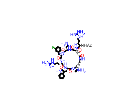 C=C(N)[C@@H]1CCCNC(=O)CC[C@H](NC(=O)[C@H](CCCNC(=N)N)NC(C)=O)C(=O)N[C@@H](CCN)C(=O)N[C@H](Cc2cccc(F)c2)C(=O)N[C@@H](CCCNC(=N)N)C(=O)N[C@@H](Cc2c[nH]c3ccccc23)C(=O)N1